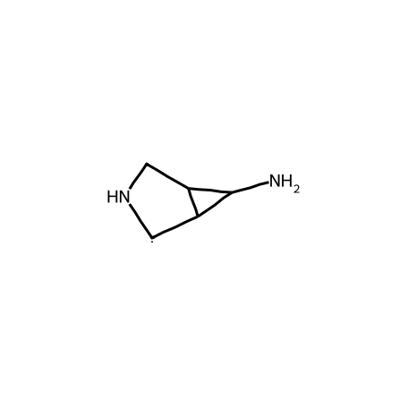 NC1C2[CH]NCC12